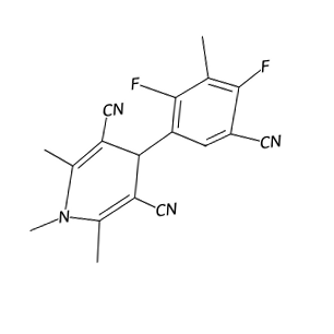 CC1=C(C#N)C(c2cc(C#N)c(F)c(C)c2F)C(C#N)=C(C)N1C